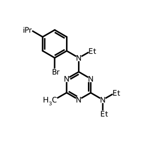 CCN(CC)c1nc(C)nc(N(CC)c2ccc(C(C)C)cc2Br)n1